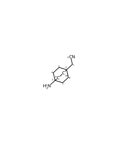 N#CCC12CCC(N)(CC1)CC2